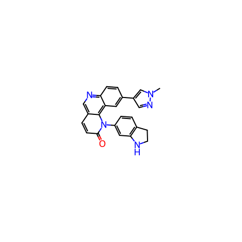 Cn1cc(-c2ccc3ncc4ccc(=O)n(-c5ccc6c(c5)NCC6)c4c3c2)cn1